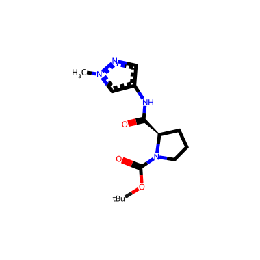 Cn1cc(NC(=O)[C@H]2CCCN2C(=O)OC(C)(C)C)cn1